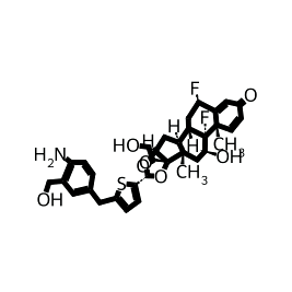 C[C@]12C=CC(=O)C=C1[C@@H](F)C[C@H]1[C@@H]3C[C@H]4O[C@@H](c5ccc(Cc6ccc(N)c(CO)c6)s5)O[C@@]4(C(=O)CO)[C@@]3(C)C[C@H](O)[C@@]12F